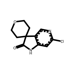 O=C1Nc2cc(Cl)ncc2C12CCOCC2